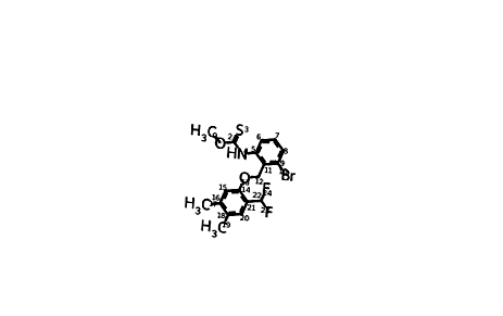 COC(=S)Nc1cccc(Br)c1COc1cc(C)c(C)cc1C(F)F